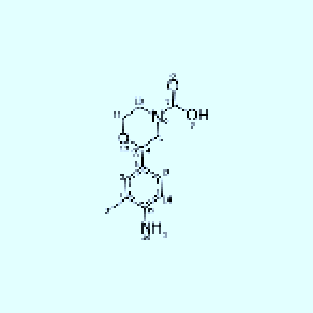 Cc1cc([C@@H]2CN(C(=O)O)CCO2)ccc1N